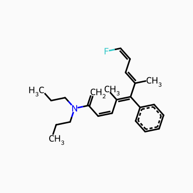 C=C(\C=C/C(C)=C(/C(C)=C/C=C\F)c1ccccc1)N(CCC)CCC